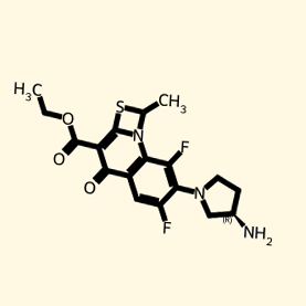 CCOC(=O)c1c2n(c3c(F)c(N4CC[C@@H](N)C4)c(F)cc3c1=O)C(C)S2